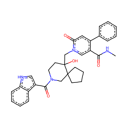 CNC(=O)c1cn(CC2(O)CCN(C(=O)c3c[nH]c4ccccc34)CC23CCCC3)c(=O)cc1-c1ccccc1